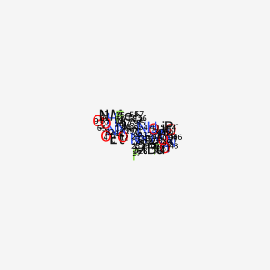 CCC(NC(=O)C(C)OC(=O)NC)C(=O)N1C[C@@H](F)C[C@H]1Cc1c(-c2nc3cc(F)ccc3n2C[C@@H]2C[C@H](F)CN2C(=O)C(NC(=O)C(C)N(C)C(=O)OC(C)(C)C)C(C)C)[nH]c2ccccc12